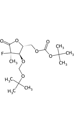 CC(C)(C)OCO[C@@H]1[C@@H](COC(=O)OC(C)(C)C)OC(=O)[C@]1(C)F